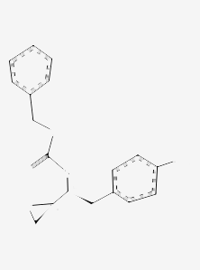 Cc1ccc(C[C@H](NC(=O)OCc2ccccc2)[C@H]2CO2)cc1